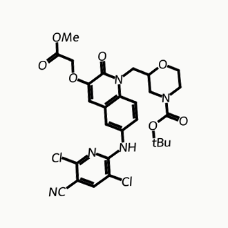 COC(=O)COc1cc2cc(Nc3nc(Cl)c(C#N)cc3Cl)ccc2n(CC2CN(C(=O)OC(C)(C)C)CCO2)c1=O